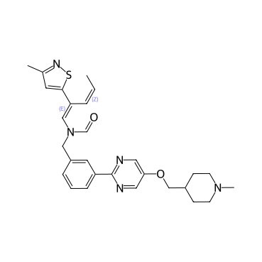 C/C=C\C(=C/N(C=O)Cc1cccc(-c2ncc(OCC3CCN(C)CC3)cn2)c1)c1cc(C)ns1